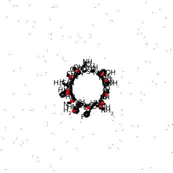 CCCC[C@H]1C(=O)N(C)[C@@H](CCCC)C(=O)N[C@@H](CCC(=O)O)C(=O)N[C@H](C(=O)NCC(N)=O)CSCC(=O)N[C@@H](Cc2ccc(O)cc2)C(=O)N(C)[C@@H](C)C(=O)N[C@@H](CC(=O)O)C(=O)N2CCC[C@H]2C(=O)N[C@@H](Cc2c[nH]cn2)C(=O)N[C@@H](CCCCN)C(=O)N2C[C@H](Cc3ccc(F)cc3)C[C@H]2C(=O)N[C@@H](Cc2c[nH]c3ccccc23)C(=O)N[C@@H](CCCCN)C(=O)N[C@@H](Cc2c[nH]c3ccccc23)C(=O)N1C